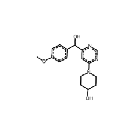 COc1ccc(C(O)c2cc(N3CCC(O)CC3)ncn2)cc1